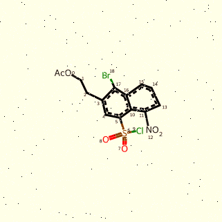 CC(=O)OCCc1cc(S(=O)(=O)Cl)c2c([N+](=O)[O-])cccc2c1Br